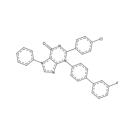 O=c1nc(-c2ccc(Cl)cc2)n(-c2ccc(-c3cccc(F)c3)cc2)c2ncn(-c3ccccc3)c12